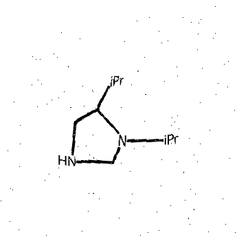 CC(C)C1CNCN1C(C)C